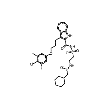 Cc1cc(OCCCc2c(C(=O)NS(=O)(=O)CCN[S+]([O-])CC3CCCCC3)[nH]c3ccccc23)cc(C)c1Cl